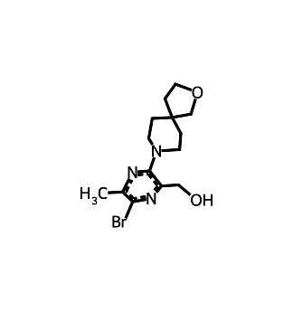 Cc1nc(N2CCC3(CCOC3)CC2)c(CO)nc1Br